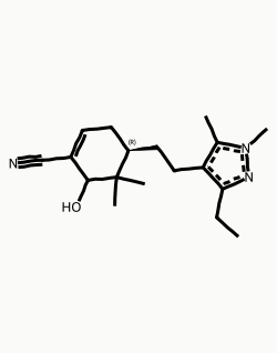 CCc1nn(C)c(C)c1CC[C@@H]1CC=C(C#N)C(O)C1(C)C